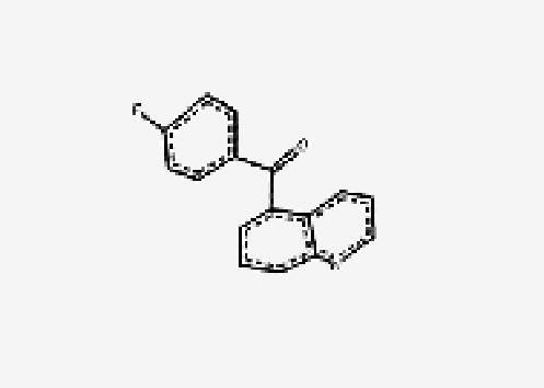 O=C(c1ccc(F)cc1)c1cccc2ncccc12